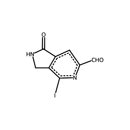 O=Cc1cc2c(c(I)n1)CNC2=O